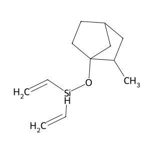 C=C[SiH](C=C)OC12CCC(CC1C)C2